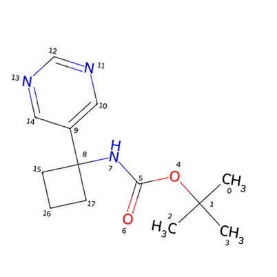 CC(C)(C)OC(=O)NC1(c2cncnc2)CCC1